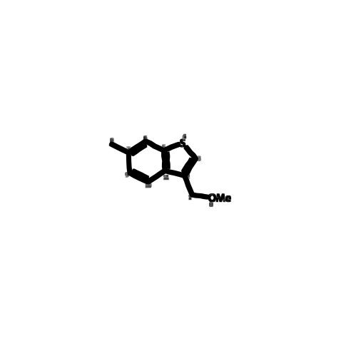 COCc1csc2cc(C)ccc12